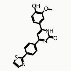 COc1cc(-c2cc(-c3ccc(-c4nccs4)cc3)nc(=O)[nH]2)ccc1O